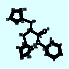 O=C(Oc1ccccn1)N(Cc1cccs1)Cc1cccs1